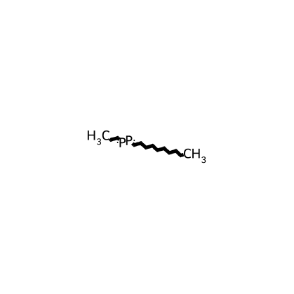 CCCCCCCCCC[P][P]CCC